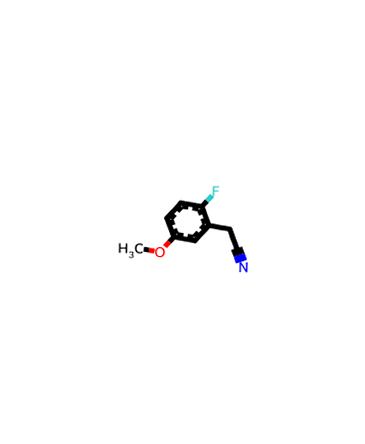 COc1ccc(F)c(CC#N)c1